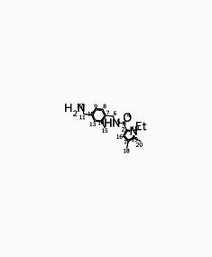 CCn1c(C(=O)NCc2ccc(CN)cc2C)cc(C)c1C